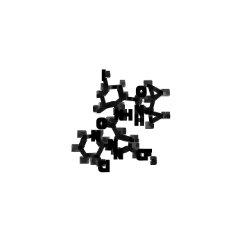 Cc1cc(I)cc(C(=O)NC2(C3CC3)CC2)c1NC(=O)c1cc(C(F)(F)F)nn1-c1ncccc1Cl